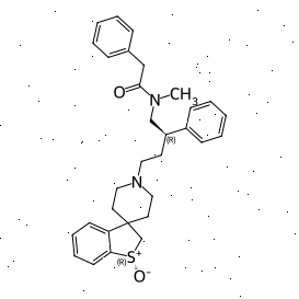 CN(C[C@H](CCN1CCC2(CC1)C[S@+]([O-])c1ccccc12)c1ccccc1)C(=O)Cc1ccccc1